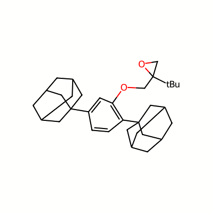 CC(C)(C)C1(COc2cc(C34CC5CC(CC(C5)C3)C4)ccc2C23CC4CC(CC(C4)C2)C3)CO1